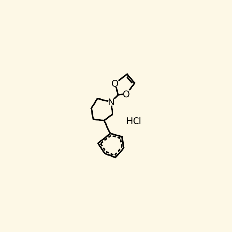 C1=COC(N2CCCC(c3ccccc3)C2)O1.Cl